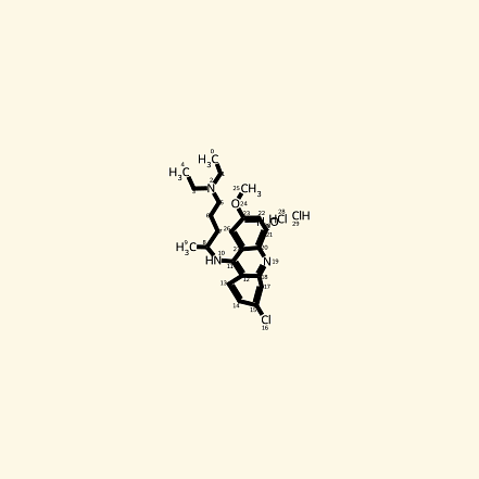 CCN(CC)CCCC(C)Nc1c2ccc(Cl)cc2nc2ccc(OC)cc12.Cl.Cl.O